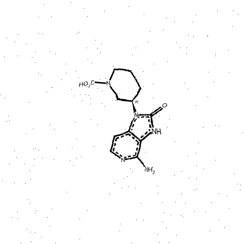 Nc1nccc2c1[nH]c(=O)n2[C@@H]1CCCN(C(=O)O)C1